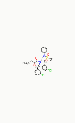 CCC(CN(c1ccccc1)S(=O)(=O)C1CC1)N1C(=O)[C@H](CC(=O)O)O[C@H](c2cccc(Cl)c2)[C@H]1c1ccc(Cl)cc1